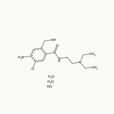 CCN(CC)CCNC(=O)c1cc(Cl)c(N)cc1CO.Cl.O.O